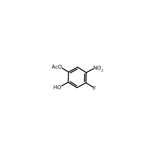 CC(=O)Oc1cc([N+](=O)[O-])c(F)cc1O